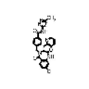 Cc1nnc(NC(=O)c2ccc(CN3C(=O)c4ccc(Cl)cc4NC(=O)[C@H]3Cc3ccccn3)cc2)s1